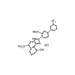 COc1cc(-c2cccc(C(F)(F)F)c2)ccc1-c1nc2c(cc(S(=O)(=O)O)c3cccc(O)c32)[nH]1.Cl